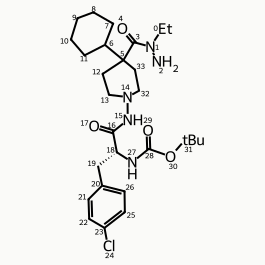 CCN(N)C(=O)C1(C2CCCCC2)CCN(NC(=O)[C@@H](Cc2ccc(Cl)cc2)NC(=O)OC(C)(C)C)CC1